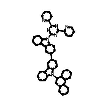 c1ccc(-c2nc(-c3ccccn3)nc(-n3c4ccccc4c4cc(-c5ccc6c(c5)c5ccccc5n6-c5cc6ccccc6c6ccccc56)ccc43)n2)nc1